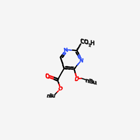 CCCCOC(=O)c1cnc(C(=O)O)nc1OCCCC